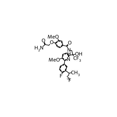 COc1cc(C(=O)NCC(O)(c2ccc(OC)c(-c3ccc(F)c(C(C)SF)c3)n2)C(F)(F)F)ccc1OCC(N)=O